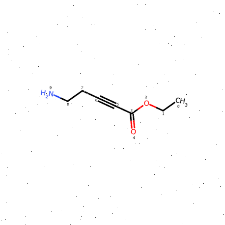 CCOC(=O)C#CCCN